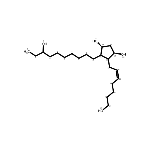 CCC(O)CCCCCCCC1C(C/C=C\CCCCO)[C@H](O)C[C@@H]1O